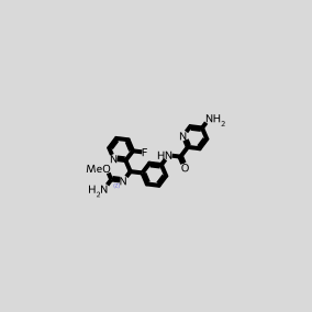 CO/C(N)=N\C(c1cccc(NC(=O)c2ccc(N)cn2)c1)c1ncccc1F